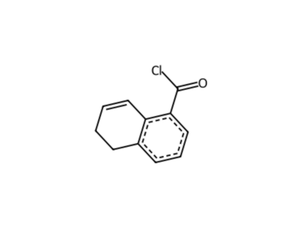 O=C(Cl)c1cccc2c1C=CCC2